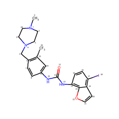 CN1CCN(Cc2ccc(NC(=O)Nc3ccc(I)c4ccoc34)cc2C(F)(F)F)CC1